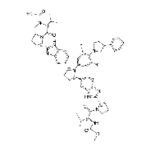 COC(=O)N[C@H](C(=O)N1CCC[C@H]1c1nc2ccc([C@H]3CC[C@H](c4ccc5[nH]c([C@@H]6CCCN6C(=O)[C@H](C(C)C)N(C)C(=O)O)nc5c4)N3c3cc(F)c(N4CCC(c5ccccc5)C4)c(F)c3)cc2[nH]1)C(C)C